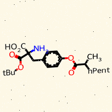 CCCCCC(C)C(=O)Oc1ccc(CC(N)(C(=O)O)C(=O)OC(C)(C)C)cc1